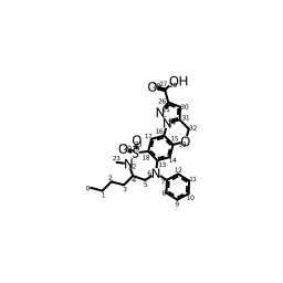 CCCCC1CN(c2ccccc2)c2cc3c(cc2S(=O)(=O)N1C)-n1nc(C(=O)O)cc1CO3